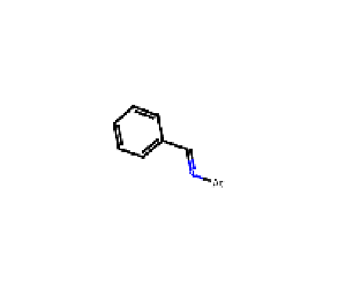 CC(=O)/N=C/c1ccccc1